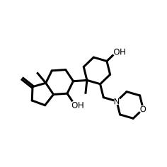 C=C1CCC2C(O)C(C3(C)CCC(O)CC3CN3CCOCC3)CCC12C